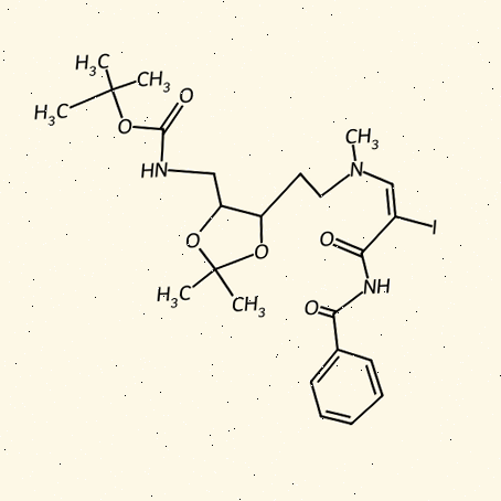 CN(/C=C(/I)C(=O)NC(=O)c1ccccc1)CCC1OC(C)(C)OC1CNC(=O)OC(C)(C)C